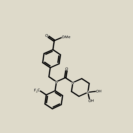 COC(=O)c1ccc(CN(C(=O)N2CCS(O)(O)CC2)c2ccccc2C(F)(F)F)cc1